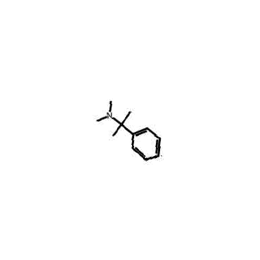 CN(C)C(C)(C)c1cc[c]cc1